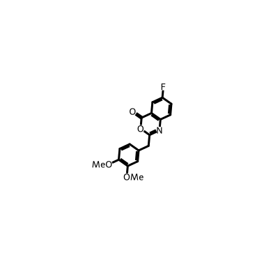 COc1ccc(Cc2nc3ccc(F)cc3c(=O)o2)cc1OC